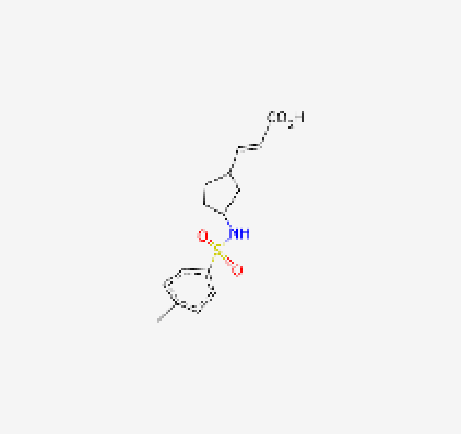 Cc1ccc(S(=O)(=O)NC2CCC(C=CC(=O)O)C2)cc1